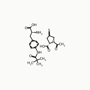 CC(=O)N1CC(=S)C[C@H]1C(=O)O.CC(C)(C)C(=O)Nc1ccc(C[C@H](N)C(=O)O)cc1